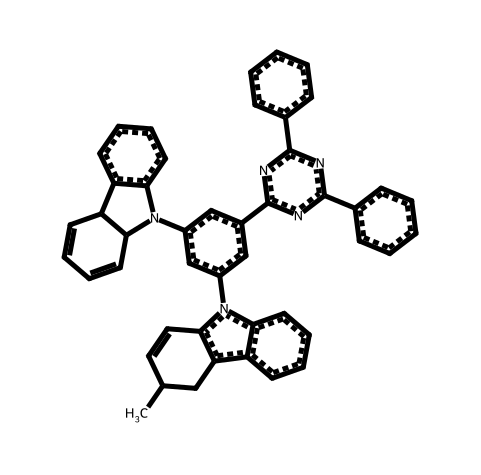 CC1C=Cc2c(c3ccccc3n2-c2cc(-c3nc(-c4ccccc4)nc(-c4ccccc4)n3)cc(N3c4ccccc4C4C=CC=CC43)c2)C1